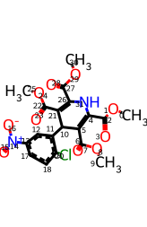 COC(=O)C1=C(C(=O)OC)C(c2cc([N+](=O)[O-])ccc2Cl)C(C(=O)OC)=C(C(=O)OC)N1